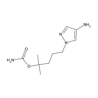 CC(C)(CCCn1cc(N)cn1)OC(N)=O